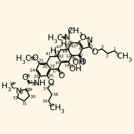 CCCCOc1noc2c1C(=O)[C@@]1(O)C(O)=C3C(=O)c4c(c(OC)cc(NC(=O)[C@@H]5CCCN5C)c4OCCCC)C[C@H]3C[C@H]1[C@@H]2N(C)C